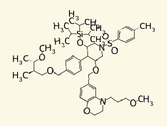 COCCCN1CCOc2ccc(COC3CN(S(=O)(=O)c4ccc(C)cc4)CC(O[Si](C(C)C)(C(C)C)C(C)C)C3c3ccc(COC[C@@H](C)[C@H](C)OC)cc3)cc21